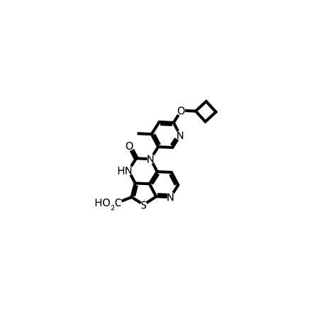 Cc1cc(OC2CCC2)ncc1N1C(=O)Nc2c(C(=O)O)sc3nccc1c23